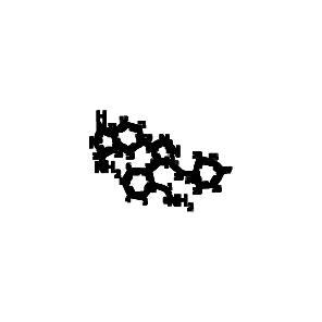 NCc1ccccc1-c1c(-c2ccc3[nH]nc(N)c3c2)nnn1Cc1ccccc1